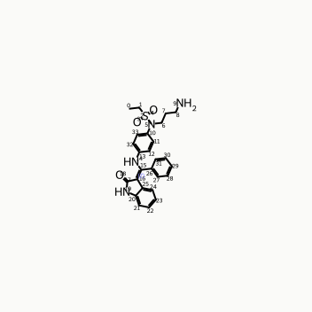 CCS(=O)(=O)N(CCCN)c1ccc(N/C(=C2\C(=O)Nc3ccccc32)c2ccccc2)cc1